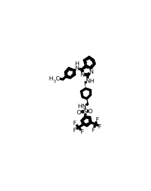 CCc1ccc(Nc2nc(NC[C@H]3CC[C@H](CNS(=O)(=O)c4cc(C(F)(F)F)cc(C(F)(F)F)c4)CC3)nc3ccccc23)cc1